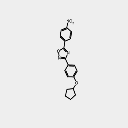 O=[N+]([O-])c1ccc(-c2nc(-c3ccc(OC4CCCC4)cc3)no2)cc1